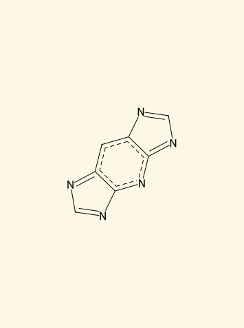 C1=Nc2nc3c(cc2=N1)N=CN=3